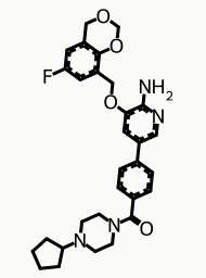 Nc1ncc(-c2ccc(C(=O)N3CCN(C4CCCC4)CC3)cc2)cc1OCc1cc(F)cc2c1OCOC2